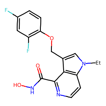 CCn1cc(COc2ccc(F)cc2F)c2c(C(=O)NO)nccc21